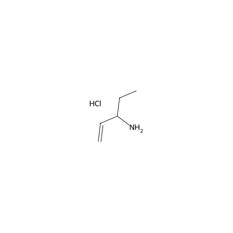 C=CC(N)CC.Cl